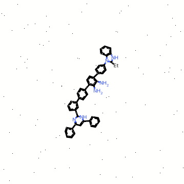 CCC1Nc2ccccc2N1c1ccc(-c2ccc(-c3ccc(-c4cccc(C5N=C(c6ccccc6)C=C(c6ccccc6)N5)c4)cc3)c(N)c2N)cc1